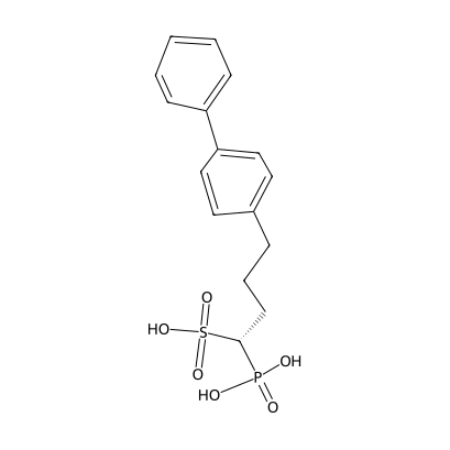 O=P(O)(O)[C@@H](CCCc1ccc(-c2ccccc2)cc1)S(=O)(=O)O